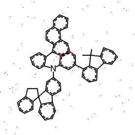 CC1(C)c2ccccc2-c2cccc(-c3cccc(N(c4ccc5c(c4)C4(CCc6ccccc64)c4ccccc4-5)c4ccccc4-c4cccc5c4ccc4ccccc45)c3)c21